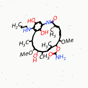 C=CCNc1c(O)cc2c(O)c1CC(C)CC(OC)[C@H](O)C(C)/C=C(\C)C(OC(N)=O)C(OC)/C=C\C=C(/C)C(=O)N2